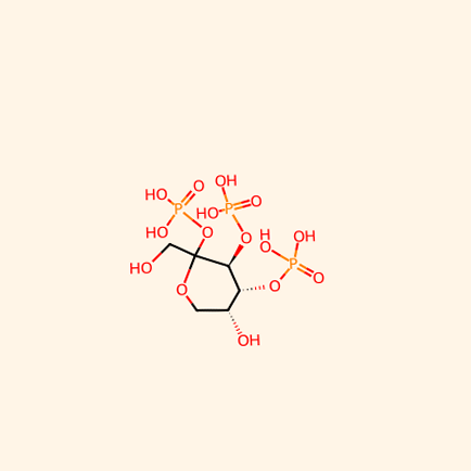 O=P(O)(O)O[C@@H]1[C@H](O)COC(CO)(OP(=O)(O)O)[C@H]1OP(=O)(O)O